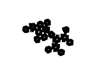 c1ccc(-c2cc(-c3ccccc3-c3cccc(-c4cnc(-c5ccccc5)nc4)c3)cc(-c3cc(-c4ccc(-c5nc(-c6nc(-c7ccccc7)nc(-c7ccccc7)n6)cc(-c6nc(-c7ccccc7)nc(-c7ccccc7)n6)n5)cc4)ccc3-c3cccc(-c4cnc(-c5ccccc5)nc4)c3)n2)cc1